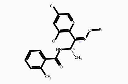 CCO/N=C(\c1ncc(Cl)cc1Cl)[C@H](C)NC(=O)c1ccccc1C(F)(F)F